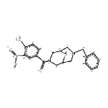 Cc1ccc(C(=O)N2CC3CN(Cc4ccccc4)CC(C2)O3)cc1[N+](=O)[O-]